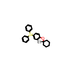 CCC1(Oc2ccc([S+](c3ccccc3)c3ccccc3)cc2)CCCCC1